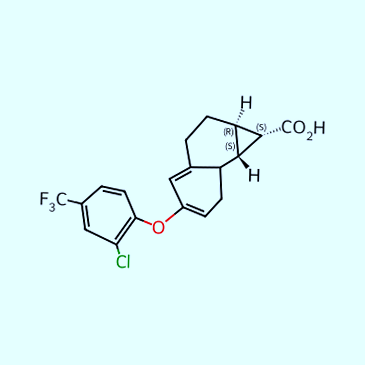 O=C(O)[C@H]1[C@@H]2CCC3=CC(Oc4ccc(C(F)(F)F)cc4Cl)=CCC3[C@H]21